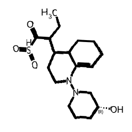 CCC(C(=O)[SH](=O)=O)C1CCN(N2CCC[C@@H](O)C2)C2=CCCCC21